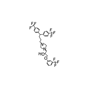 OC(COc1cccc(C(F)(F)F)c1)CN1CCN(CCCC(c2ccc(C(F)(F)F)cc2)c2ccc(C(F)(F)F)cc2)CC1